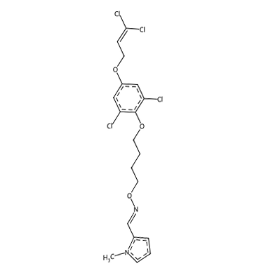 Cn1cccc1/C=N/OCCCCOc1c(Cl)cc(OCC=C(Cl)Cl)cc1Cl